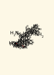 CCCC[C@H](NC(=O)[C@H](Cc1c[nH]c2ccccc12)NC(=O)[C@H](CCCCN)NC(=O)[C@H](CCCNC(=N)N)NC(=O)[C@H](CC(C)C)NC(=O)[C@@H](C)CCCNC(=N)N)C(=O)N[C@@H](Cc1ccccc1)C(=O)N[C@H](C(N)=O)[C@@H](C)CC